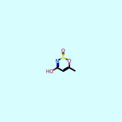 CC1=CC(O)=NS(=O)O1